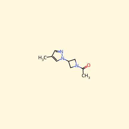 CC(=O)N1CC(n2cc(C)cn2)C1